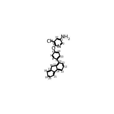 Nc1cnc(Oc2ccc(-c3cccc4c3Cc3ccccc3-4)cc2)c(Cl)c1